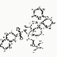 CS(=O)(=O)OCCC1CC(SC(c2ccccc2)(c2ccccc2)c2ccccc2)CN1S(=O)(=O)c1ccc2ccccc2c1